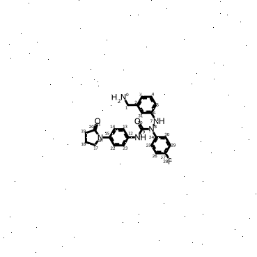 NCc1cccc(NN(C(=O)Nc2ccc(N3CCCC3=O)cc2)c2ccc(F)cc2)c1